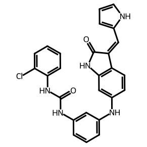 O=C(Nc1cccc(Nc2ccc3c(c2)NC(=O)C3=Cc2ccc[nH]2)c1)Nc1ccccc1Cl